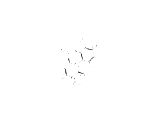 COc1c(N)c(Cl)cc(F)c1-n1c(=O)cc(C(F)(F)F)n(C)c1=O